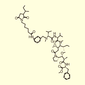 CCC(C)C1CC(=O)N(CCCCCC(=O)Nc2cccc(CN(C)[C@H](C(=O)N[C@H](C(=O)N(C)[C@@H]([C@@H](C)CC)[C@@H](CC(=O)N3CCC[C@H]3[C@H](OC)[C@@H](C)C(=O)N[C@@H](Cc3ccccc3)C(=O)OC)OC)C(C)C)C(C)C)c2)C1=O